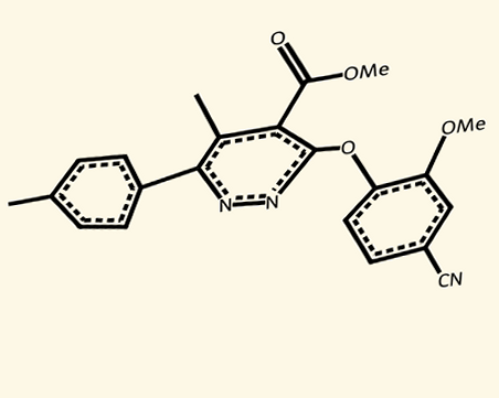 COC(=O)c1c(Oc2ccc(C#N)cc2OC)nnc(-c2ccc(C)cc2)c1C